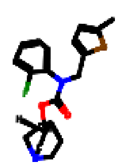 Cc1ccc(CN(C(=O)O[C@H]2CN3CCC2CC3)c2ccccc2F)s1